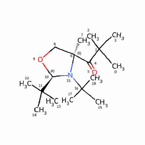 CC(C)(C)C(=O)[C@]1(C)CO[C@H](C(C)(C)C)N1C(C)(C)C